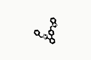 c1ccc(Cn2nnc(-c3ccccc3-c3ccc(Cn4cnc5ccccc54)cc3)n2)cc1